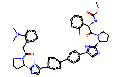 COC(=O)N[C@@H](C(=O)N1CCC[C@H]1c1ncc(-c2ccc(-c3ccc(-c4cnc([C@@H]5CCCN5C(=O)Cc5ccccc5N(C)C)[nH]4)cc3)cc2)[nH]1)c1ccccc1Cl